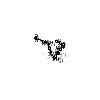 Cc1c(-c2ccc(N3CCc4cccc(C(=O)Nc5nc6ccccc6s5)c4C3)nc2C(=O)O)cnn1CC1(C)CC2(C)CC(C)(C)CC(OCCN(C)C(=O)OCc3ccc(NC(=O)C(C)NC(=O)CNC(=O)CCCCCN4C(=O)C=CC4=O)cc3)(C1)C2